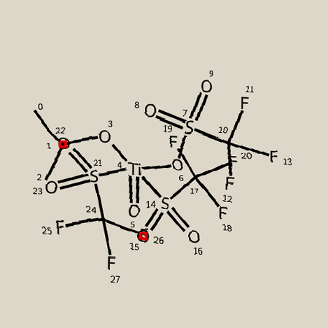 CC(C)[O][Ti](=[O])([O]S(=O)(=O)C(F)(F)F)([S](=O)(=O)C(F)(F)F)[S](=O)(=O)C(F)(F)F